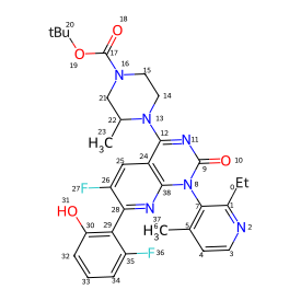 CCc1nccc(C)c1-n1c(=O)nc(N2CCN(C(=O)OC(C)(C)C)CC2C)c2cc(F)c(-c3c(O)cccc3F)nc21